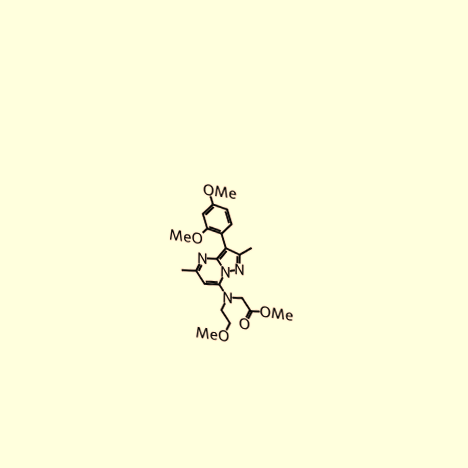 COCCN(CC(=O)OC)c1cc(C)nc2c(-c3ccc(OC)cc3OC)c(C)nn12